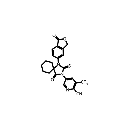 N#Cc1ncc(N2C(=O)C3(CCCCC3)N(c3ccc4c(c3)COC4=O)C2=S)cc1C(F)(F)F